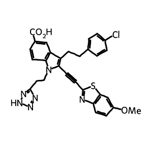 COc1ccc2nc(C#Cc3c(CCc4ccc(Cl)cc4)c4cc(C(=O)O)ccc4n3CCc3nn[nH]n3)sc2c1